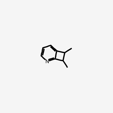 CC1c2cccnc2C1C